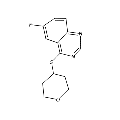 Fc1ccc2ncnc(SC3CCOCC3)c2c1